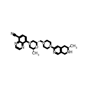 C[C@@H]1CN(c2ccc(C#N)c3nccnc23)C[C@H](CN2CCN(c3cc4c(cn3)CN[C@@H](C)C4)CC2)O1